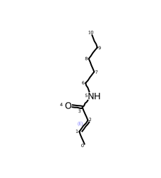 C/C=C/C(=O)NCCCCC